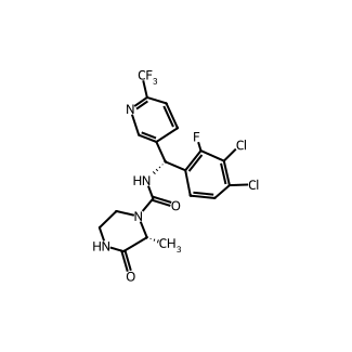 C[C@@H]1C(=O)NCCN1C(=O)N[C@H](c1ccc(C(F)(F)F)nc1)c1ccc(Cl)c(Cl)c1F